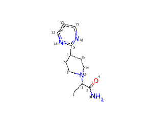 CC(C(N)=O)N1CCC(c2ncccn2)CC1